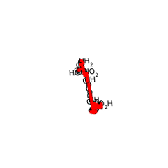 Nc1ccn([C@H]2C[C@@H](OCc3ccc(CCNC(=O)CCOCCOCCOCCOCCNC(=O)c4ccc(C5=c6cc7c8c(c6Oc6c5cc5c9c6CCCN9CCC5)CCC[N+]=8CCC7)c(C(=O)O)c4)cc3[N+](=O)[O-])[C@@H](COP(=O)(O)O)O2)c(=O)n1